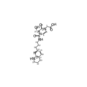 O=C(O)CN1C=CN(C(=O)NCCCc2ccc3c(n2)NCCC3)[C@H](CO)C1=O